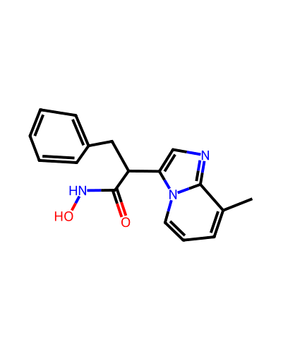 Cc1cccn2c(C(Cc3ccccc3)C(=O)NO)cnc12